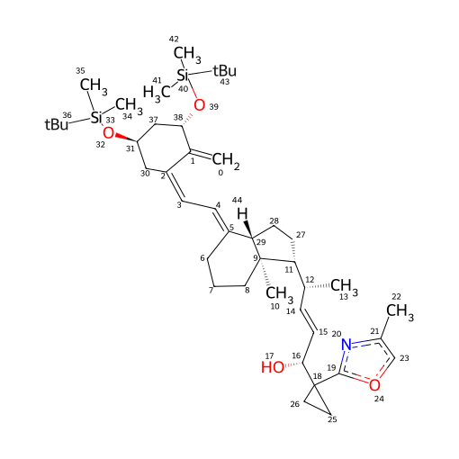 C=C1/C(=C\C=C2/CCC[C@]3(C)[C@@H]([C@H](C)C=C[C@@H](O)C4(c5nc(C)co5)CC4)CC[C@@H]23)C[C@@H](O[Si](C)(C)C(C)(C)C)C[C@@H]1O[Si](C)(C)C(C)(C)C